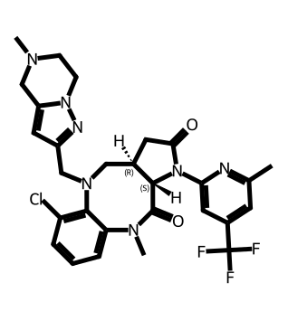 Cc1cc(C(F)(F)F)cc(N2C(=O)C[C@@H]3CN(Cc4cc5n(n4)CCN(C)C5)c4c(Cl)cccc4N(C)C(=O)[C@H]32)n1